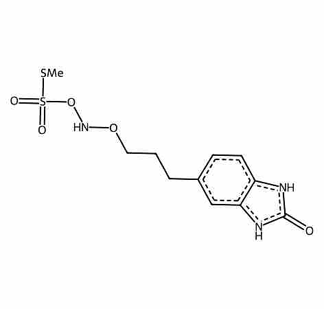 CSS(=O)(=O)ONOCCCc1ccc2[nH]c(=O)[nH]c2c1